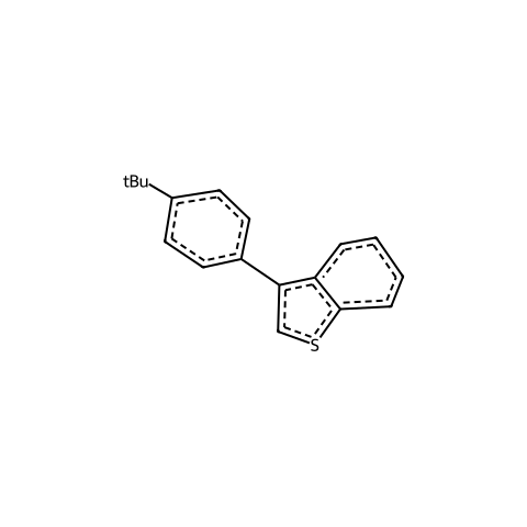 CC(C)(C)c1ccc(-c2csc3ccccc23)cc1